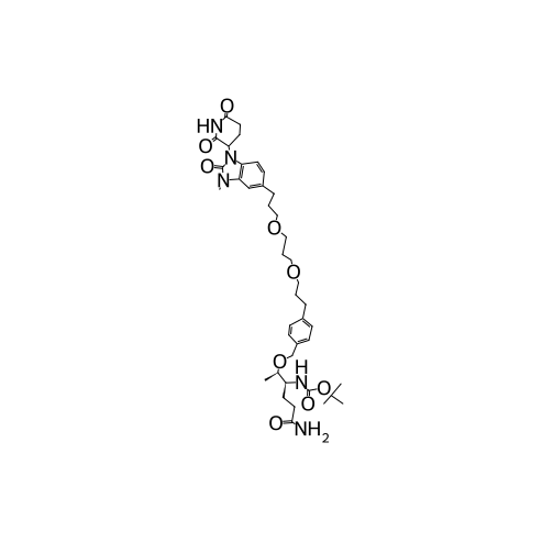 C[C@@H](OCc1ccc(CCCOCCCOCCCc2ccc3c(c2)n(C)c(=O)n3C2CCC(=O)NC2=O)cc1)[C@H](CCC(N)=O)NC(=O)OC(C)(C)C